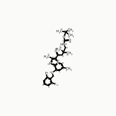 Cc1cc(OCc2c(F)cccc2F)c2nc(C)c(C(=O)CC(C)(C)CNC(=O)OC(C)(C)C)n2c1